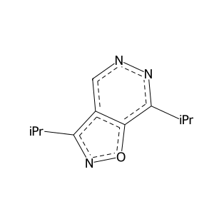 CC(C)c1noc2c(C(C)C)nncc12